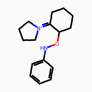 c1ccc(NOC2CCCCC2=[N+]2CCCC2)cc1